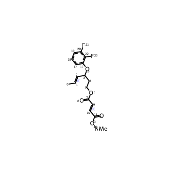 C/C=C/C(CCOC(=O)/C=C/C(=O)ONC)Oc1cccc(F)c1F